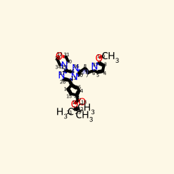 COc1cccc(/C=C/c2cn3c(-c4ccc(C(=O)OC(C)(C)C)cc4)cnc(N4CCOCC4)c3n2)n1